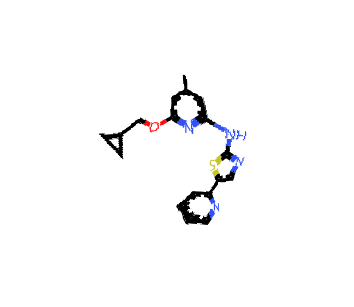 Cc1cc(Nc2ncc(-c3ccccn3)s2)nc(OCC2CC2)c1